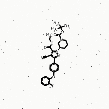 CCOC(=O)c1c(C#N)c(-c2ccc(Oc3ccccc3F)cc2)nn1[C@@H]1CCCN(C(=O)OC(C)(C)C)C1